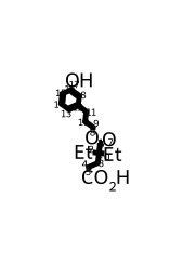 CCC(CC)(CCC(=O)O)C(=O)OCCCc1cccc(O)c1